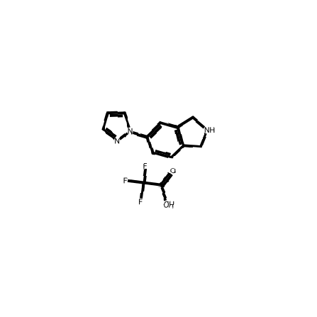 O=C(O)C(F)(F)F.c1cnn(-c2ccc3c(c2)CNC3)c1